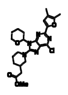 COC(=O)CC1CCCN(c2nc3c(Cl)nc(-c4cc(C)c(C)o4)nc3n2C2CCCCO2)C1